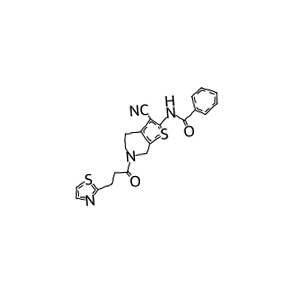 N#Cc1c(NC(=O)c2ccccc2)sc2c1CCN(C(=O)CCc1nccs1)C2